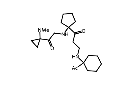 CNC1(C(=O)CNC2(C(=O)CCNC3(C(C)=O)CCCCC3)CCCC2)CC1